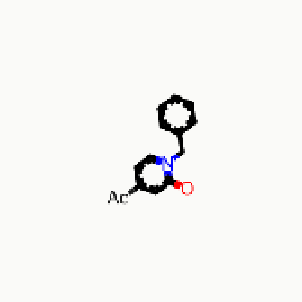 CC(=O)c1ccn(Cc2ccccc2)c(=O)c1